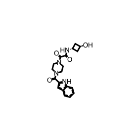 O=C(N[C@H]1C[C@H](O)C1)C(=O)N1CCN(C(=O)c2cc3ccccc3[nH]2)CC1